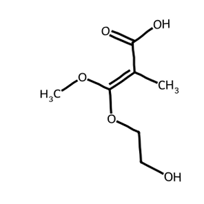 COC(OCCO)=C(C)C(=O)O